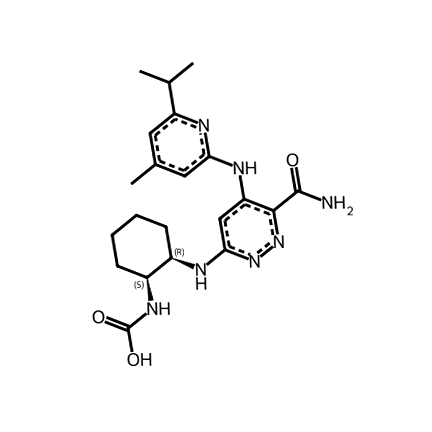 Cc1cc(Nc2cc(N[C@@H]3CCCC[C@@H]3NC(=O)O)nnc2C(N)=O)nc(C(C)C)c1